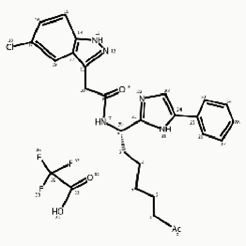 CC(=O)CCCCC[C@H](NC(=O)Cc1n[nH]c2ccc(Cl)cc12)c1ncc(-c2ccccc2)[nH]1.O=C(O)C(F)(F)F